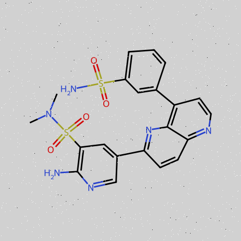 CN(C)S(=O)(=O)c1cc(-c2ccc3nccc(-c4cccc(S(N)(=O)=O)c4)c3n2)cnc1N